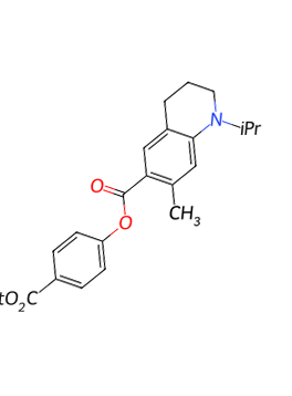 CCOC(=O)c1ccc(OC(=O)c2cc3c(cc2C)N(C(C)C)CCC3)cc1